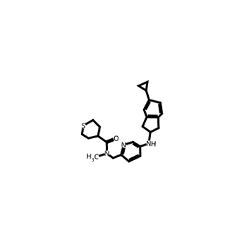 CN(Cc1ccc(NC2Cc3ccc(C4CC4)cc3C2)cn1)C(=O)C1CCSCC1